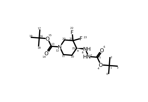 CC(C)(C)OC(=O)NN[C@H]1CCN(C(=O)OC(C)(C)C)CC1(F)F